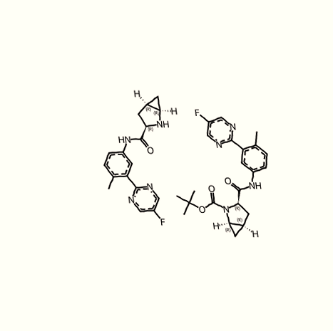 Cc1ccc(NC(=O)[C@H]2C[C@H]3C[C@H]3N2)cc1-c1ncc(F)cn1.Cc1ccc(NC(=O)[C@H]2C[C@H]3C[C@H]3N2C(=O)OC(C)(C)C)cc1-c1ncc(F)cn1